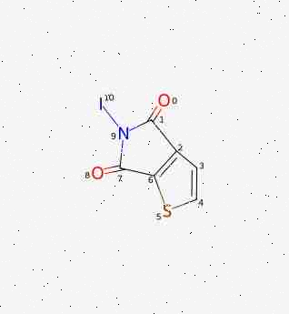 O=C1c2ccsc2C(=O)N1I